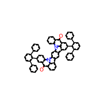 O=c1c2cc(-c3c(-c4ccccc4)cccc3-c3ccccc3)ccc2n2c3cc4c(cc3c3cccc1c32)c1cc(-c2c(-c3ccccc3)cccc2-c2ccccc2)cc2c(=O)c3ccccc3n4c21